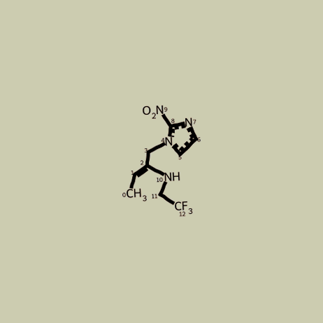 CC=C(Cn1ccnc1[N+](=O)[O-])NCC(F)(F)F